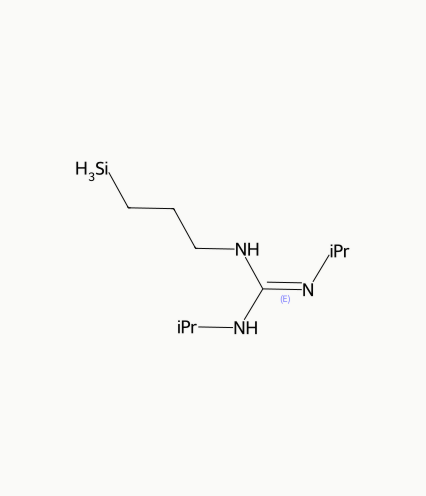 CC(C)/N=C(\NCCC[SiH3])NC(C)C